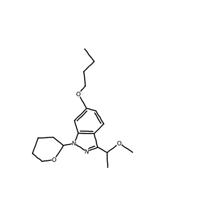 CCCCOc1ccc2c(C(C)OC)nn(C3CCCCO3)c2c1